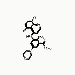 COC(=O)c1cc(N2CCOCC2)cc(Nc2ccnc3c(Cl)ccc(F)c23)c1[N+](=O)[O-]